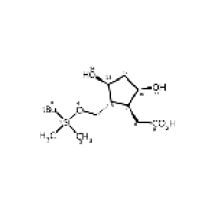 CC(C)(C)[Si](C)(C)OC[C@H]1[C@H](CC(=O)O)[C@H](O)C[C@@H]1O